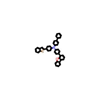 c1ccc(-c2ccc(N(c3ccc(-c4cc5ccccc5s4)cc3)c3ccc(-c4cccc5c4oc4ccccc45)cc3)cc2)cc1